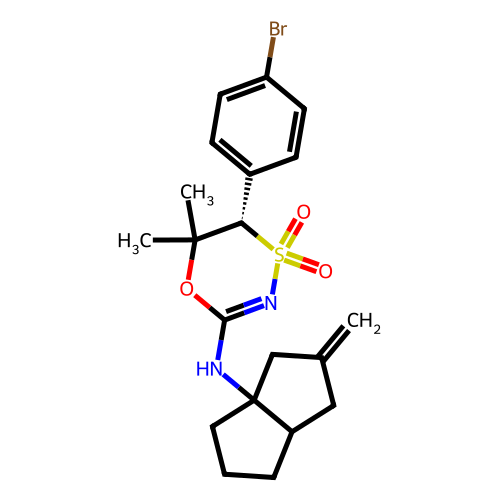 C=C1CC2CCCC2(NC2=NS(=O)(=O)[C@@H](c3ccc(Br)cc3)C(C)(C)O2)C1